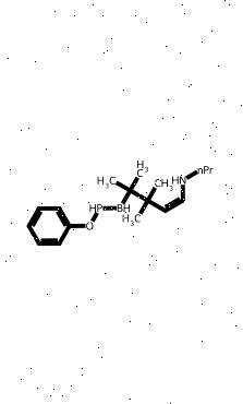 CCCN/C=C\C(C)(C)C(C)(C)BPOc1ccccc1